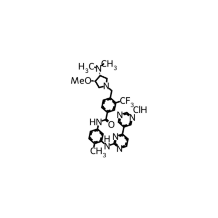 CO[C@@H]1CN(Cc2ccc(C(=O)Nc3ccc(C)c(Nc4nccc(-c5cncnc5)n4)c3)cc2C(F)(F)F)C[C@H]1N(C)C.Cl